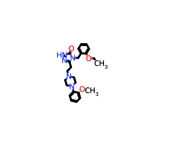 CCOc1ccccc1Cn1c(CCN2CCN(c3ccccc3OC)CC2)n[nH]c1=O